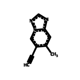 C#Cc1cn2ncnc2cc1C